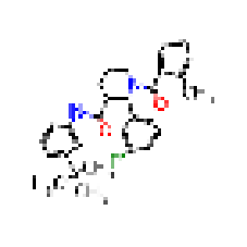 Cc1ccccc1C(=O)N1CCCC(C(=O)Nc2cccc(C(C)(C)C)c2)C1c1cccc(F)c1